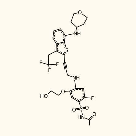 CC(=O)NS(=O)(=O)c1cc(OCCO)c(NCC#Cc2sc3c(NC4CCOCC4)cccc3c2CC(F)(F)F)cc1F